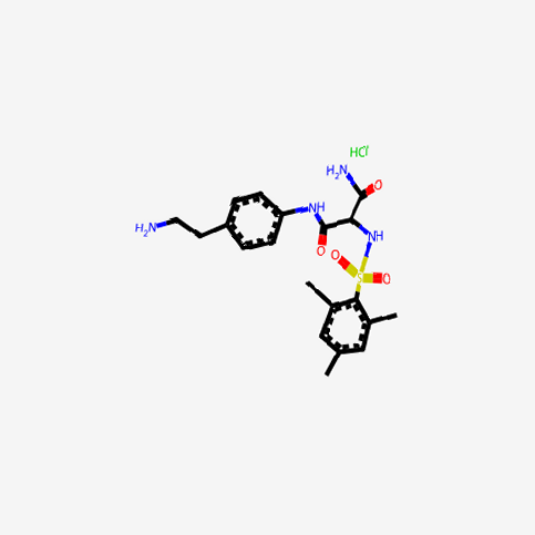 Cc1cc(C)c(S(=O)(=O)NC(C(N)=O)C(=O)Nc2ccc(CCN)cc2)c(C)c1.Cl